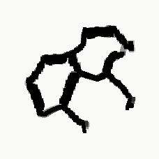 Fc1cccc2ccnc(F)c12